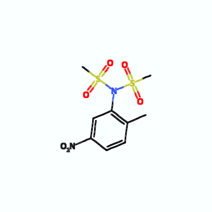 Cc1ccc([N+](=O)[O-])cc1N(S(C)(=O)=O)S(C)(=O)=O